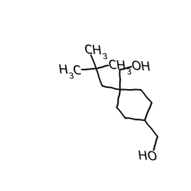 CC(C)(C)CC1(CO)CCC(CO)CC1